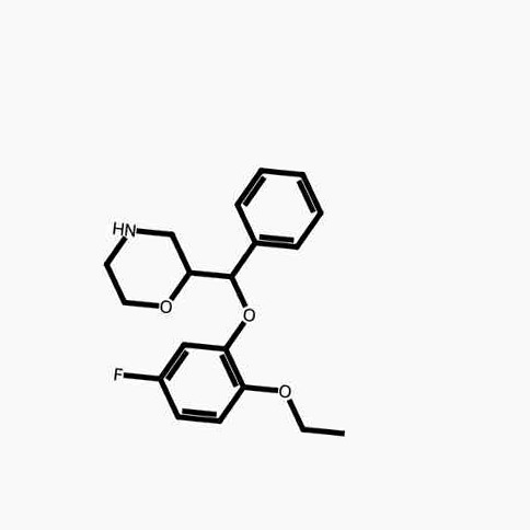 CCOc1ccc(F)cc1OC(c1ccccc1)C1CNCCO1